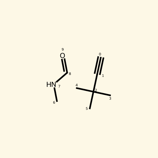 C#CC(C)(C)C.CNC=O